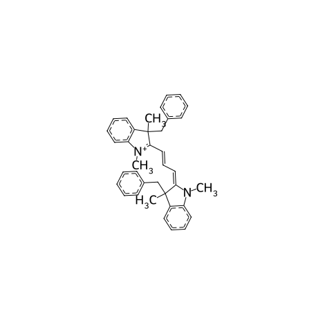 CN1/C(=C/C=C/C2=[N+](C)c3ccccc3C2(C)Cc2ccccc2)C(C)(Cc2ccccc2)c2ccccc21